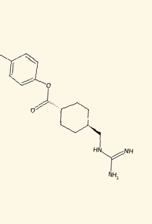 Cc1ccc(OC(=O)[C@H]2CC[C@H](CNC(=N)N)CC2)cc1